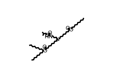 CCCCCCCCCOC(=O)CCCCCCCN(CCCCCCCC(=O)OC(CCCCCCCC)CCCCCCCC)CCCNC(=O)OCC(C)C